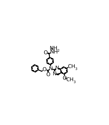 COc1cc(C)cc2nc(N(C(=O)OCc3ccccc3)c3ccc(C(=O)NN)cc3)ncc12